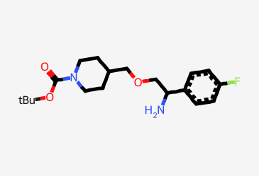 CC(C)(C)OC(=O)N1CCC(COCC(N)c2ccc(F)cc2)CC1